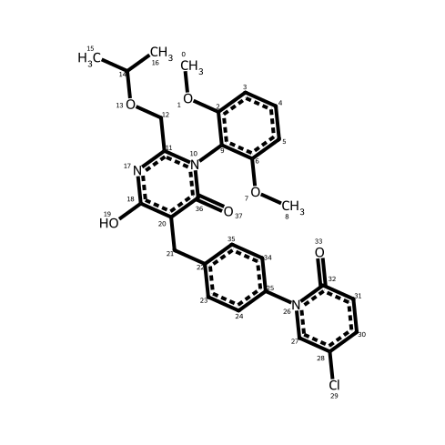 COc1cccc(OC)c1-n1c(COC(C)C)nc(O)c(Cc2ccc(-n3cc(Cl)ccc3=O)cc2)c1=O